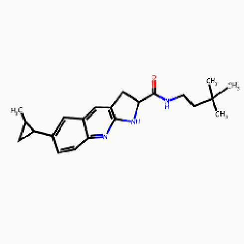 CC1CC1c1ccc2nc3c(cc2c1)CC(C(=O)NCCC(C)(C)C)N3